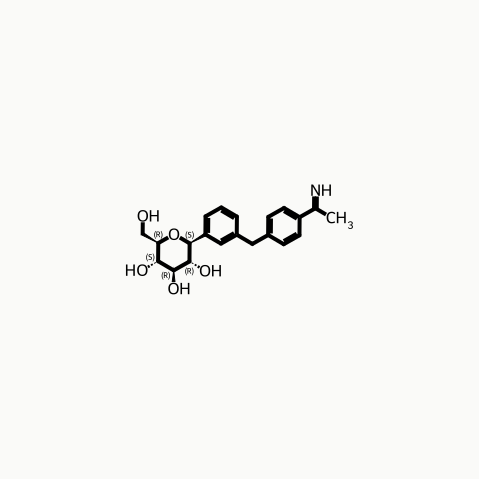 CC(=N)c1ccc(Cc2cccc([C@@H]3O[C@H](CO)[C@@H](O)[C@H](O)[C@H]3O)c2)cc1